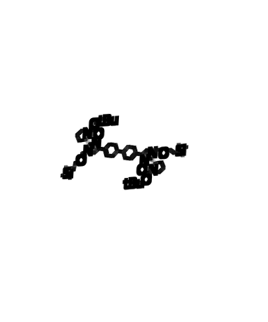 CC(C)(C)OC(=O)N1CCC[C@H]1c1nc(C2=CCC(C3CC=C(c4cn(COCC[Si](C)(C)C)c([C@@H]5CCCN5C(=O)OC(C)(C)C)n4)CC3)CC2)cn1COCC[Si](C)(C)C